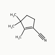 CC1=C(C#N)CCC1(C)C